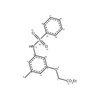 CCOC(=O)COc1cc(C)cc(NS(=O)(=O)c2ccccc2)c1